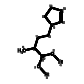 CCO[SiH](OCC)C(C)CCN1C=NCC1